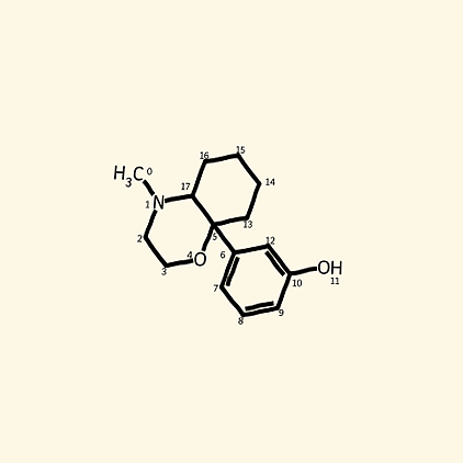 CN1CCOC2(c3cccc(O)c3)CCCCC12